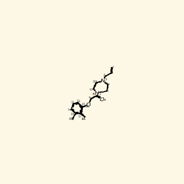 C=CCN1CCN(C(=O)COc2cccc(C)c2C)CC1